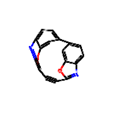 c1c2nc3ccc(cc3o2)c2ccc3nc(c#1)oc3c2